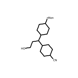 CCCCCCCCCC1CCC(C(CCO)C2CCC(C#N)CC2)CC1